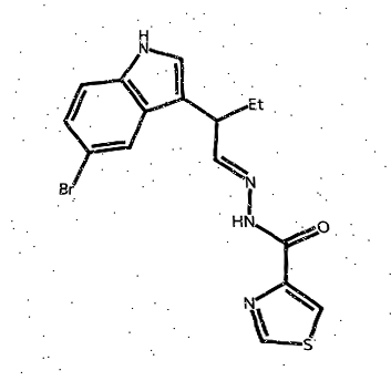 CCC(C=NNC(=O)c1cscn1)c1c[nH]c2ccc(Br)cc12